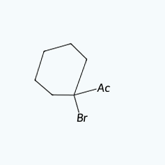 CC(=O)C1(Br)CCCCC1